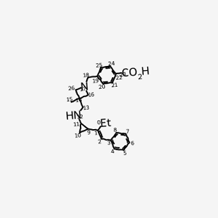 CC/C(=C\c1ccccc1)C1CC1NCC1(C)CN(Cc2ccc(C(=O)O)cc2)C1